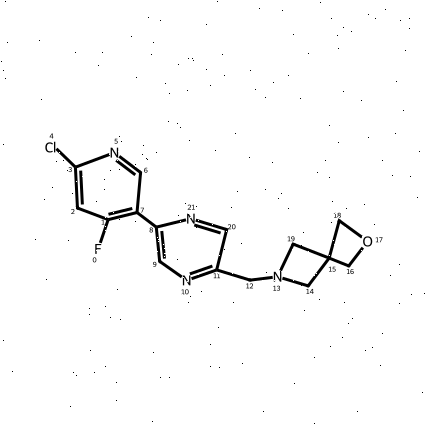 Fc1cc(Cl)ncc1-c1cnc(CN2CC3(COC3)C2)cn1